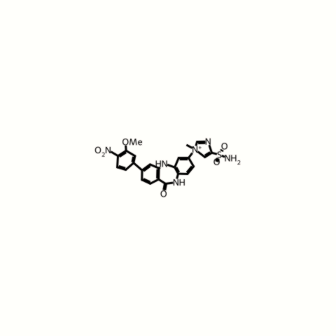 COc1cc(-c2ccc3c(c2)Nc2cc([N+]4(C)C=NC(S(N)(=O)=O)=C4)ccc2NC3=O)ccc1[N+](=O)[O-]